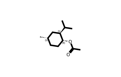 CC(=O)O[C@@H]1CC[C@H](C)C[C@H]1C(C)C